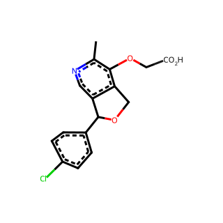 Cc1ncc2c(c1OCC(=O)O)COC2c1ccc(Cl)cc1